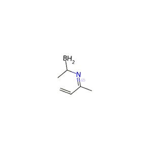 BC(C)/N=C(/C)C=C